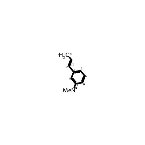 [CH2]/C=C/c1cccc(NC)c1